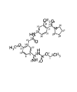 CCOC(=O)NC(=N)c1ccc(OC)c(CC(=O)Nc2ccc(C(=O)N3CCCC3)c(C)c2)c1